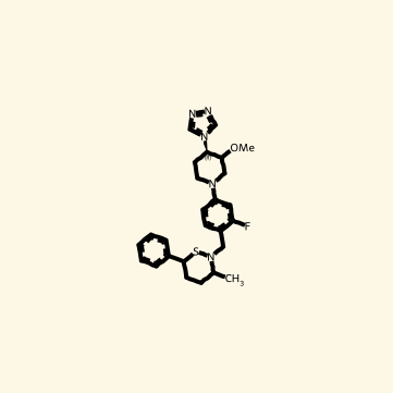 COC1CN(c2ccc(CN3SC(c4ccccc4)CCC3C)c(F)c2)CC[C@H]1n1cnnc1